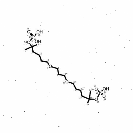 CC(C)(CCCCOCCCOCCCCC(C)(C)OP(=O)(O)O)OP(=O)(O)O